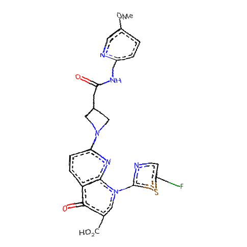 COc1ccc(NC(=O)C2CN(c3ccc4c(=O)c(C(=O)O)cn(-c5ncc(F)s5)c4n3)C2)nc1